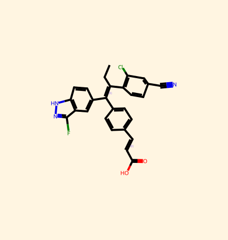 CC/C(=C(/c1ccc(/C=C/C(=O)O)cc1)c1ccc2[nH]nc(F)c2c1)c1ccc(C#N)cc1Cl